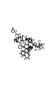 COC/C=C/C(=O)N1CC[C@H](n2ncc3c(O[C@@H](C)[C@@H]4CCCN4C)nc4c(F)c(-c5cccc6cccc(C#N)c56)c(Cl)cc4c32)C[C@H]1CC#N